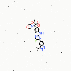 CC(=O)c1c(N2CCOCC2)c2ccc(Nc3ncc(F)c(-c4ccc5nn(C)c(C(C)C)c5c4)n3)cc2oc1=O